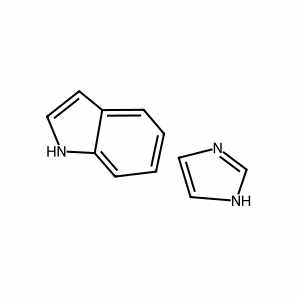 c1c[nH]cn1.c1ccc2[nH]ccc2c1